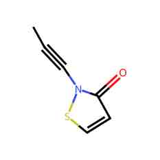 CC#Cn1sccc1=O